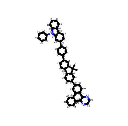 CC1(C)c2cc(-c3ccc(-c4ccc5c6ccccc6n(-c6ccccc6)c5c4)cc3)ccc2-c2ccc(-c3ccc4c(c3)c3ccccc3c3nccnc43)cc21